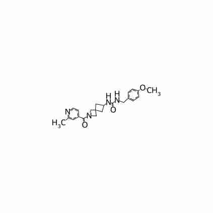 COc1ccc(CNC(=O)NC2CC3(C2)CN(C(=O)c2ccnc(C)c2)C3)cc1